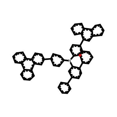 c1ccc(-c2ccc(-c3ccccc3)c(N(c3ccc(-c4ccc5c6ccccc6c6ccccc6c5c4)cc3)c3ccc(-c4cc5ccccc5c5ccccc45)cc3)c2)cc1